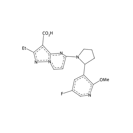 CCc1nn2ccc(N3CCCC3c3cc(F)cnc3OC)nc2c1C(=O)O